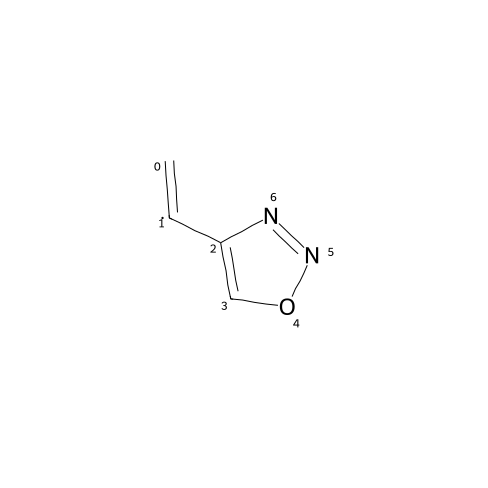 C=[C]c1conn1